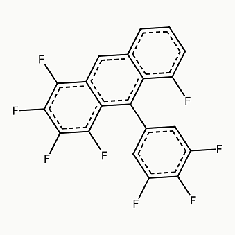 Fc1cc(-c2c3c(F)cccc3cc3c(F)c(F)c(F)c(F)c23)cc(F)c1F